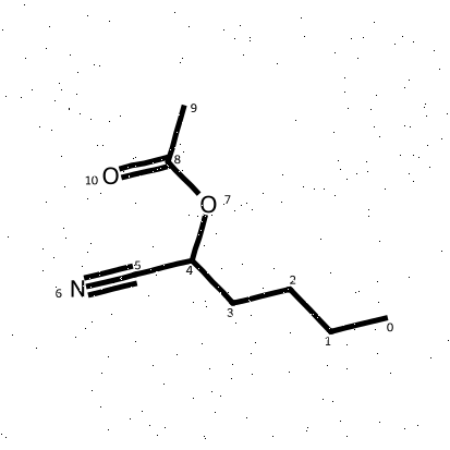 CCCCC(C#N)OC(C)=O